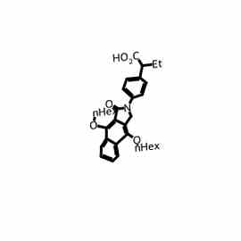 CCCCCCOc1c2c(c(OCCCCCC)c3ccccc13)C(=O)N(c1ccc(C(CC)C(=O)O)cc1)C2